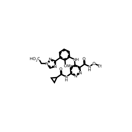 CCONC(=O)c1nnc(NC(=O)C2CC2)cc1Nc1cccc(-c2ncn(CC(=O)O)n2)c1OC